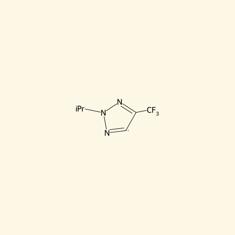 CC(C)n1n[c]c(C(F)(F)F)n1